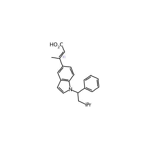 C/C(=C\C(=O)O)c1ccc2c(ccn2C(CC(C)C)c2ccccc2)c1